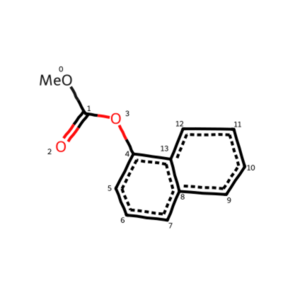 COC(=O)Oc1cccc2ccccc12